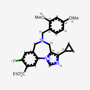 CCOC(=O)c1cc2c(cc1F)CN(Cc1ccc(OC)cc1OC)Cc1c(C3CC3)ncn1-2